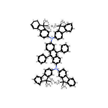 CC1(C)C2=C(C=CCC2)c2ccc(N(c3ccc4c(c3)C(C)(C)c3ccccc3-4)c3ccc4c(-c5ccccc5)c5cc(N(c6ccc7c(c6)C(C)(C)c6ccccc6-7)c6ccc7c(c6)C(C)(C)c6ccccc6-7)ccc5c(-c5ccccc5)c4c3)cc21